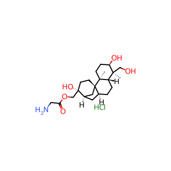 C[C@@]1(CO)[C@H](O)CC[C@@]2(C)[C@H]1CC[C@H]1C[C@@H]3C[C@@]12CC[C@]3(O)COC(=O)CN.Cl